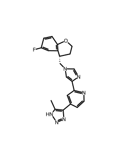 Cc1[nH]nnc1-c1ccnc(-c2cn(C[C@H]3CCOc4ccc(F)cc43)cn2)c1